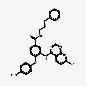 CC(C)c1ccc2c(Nc3cc(C(=O)NCCCc4ccccc4)ccc3Sc3ccc(N)cc3)ncnc2n1